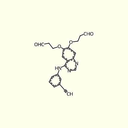 C#Cc1cccc(Nc2ncnc3cc(OCCC=O)c(OCCC=O)cc23)c1